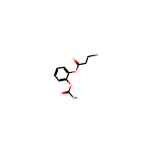 CCCCC(=O)Oc1ccccc1OC(=O)CCC(C)C